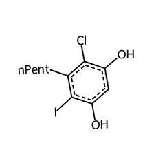 CCCCCc1c(Cl)c(O)cc(O)c1I